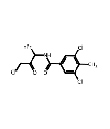 CCCC(NC(=O)c1cc(Cl)c(C)c(Cl)c1)C(=O)CCl